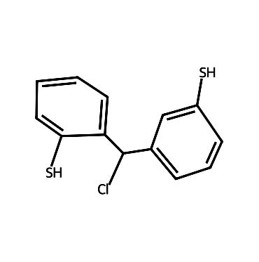 Sc1cccc(C(Cl)c2ccccc2S)c1